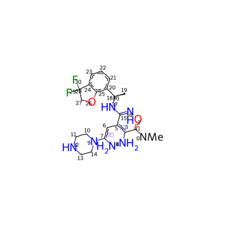 CNC(=O)/C(N)=C(/C=C(\N)N1CCNCC1)C(=N)N[C@H](C)c1cccc2c1OCC2(F)F